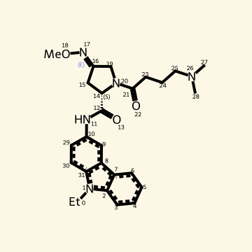 CCn1c2ccccc2c2cc(NC(=O)[C@@H]3C/C(=N\OC)CN3C(=O)CCCN(C)C)ccc21